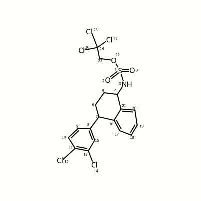 O=S(=O)(NC1CCC(c2ccc(Cl)c(Cl)c2)c2ccccc21)OCC(Cl)(Cl)Cl